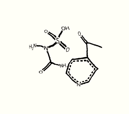 CC(=O)c1ccncc1.NC(=O)N(N)S(=O)(=O)O